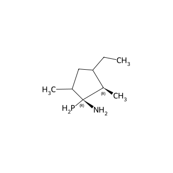 CCC1CC(C)[C@@](N)(P)[C@@H]1C